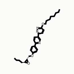 CCCCCCCCOc1ccc(-c2ccc(-c3ccc(OC[C@@H]4O[C@H]4CCCC)cc3)nc2)nn1